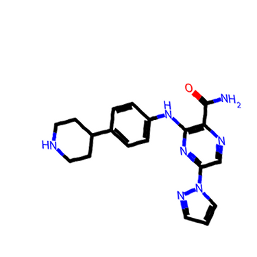 NC(=O)c1ncc(-n2cccn2)nc1Nc1ccc(C2CCNCC2)cc1